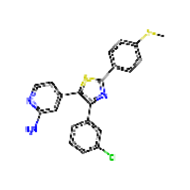 CSc1ccc(-c2nc(-c3cccc(Cl)c3)c(-c3ccnc(N)c3)s2)cc1